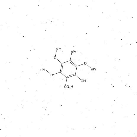 CCCOc1c(O)c(C(=O)O)c(OCCC)c(OCCC)c1CCC